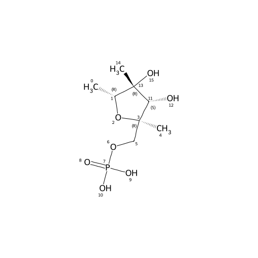 C[C@H]1O[C@](C)(COP(=O)(O)O)[C@@H](O)[C@@]1(C)O